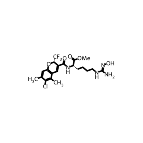 COC(=O)[C@H](CCCCNC(N)=NO)NC(=O)C1=Cc2c(cc(C)c(Cl)c2C)O[C@@H]1C(F)(F)F